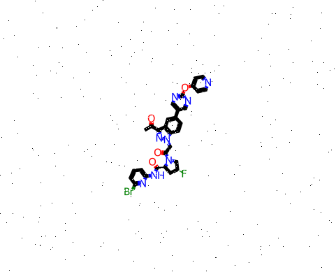 CC(=O)c1nn(CC(=O)N2C[C@H](F)C[C@H]2C(=O)Nc2cccc(Br)n2)c2ccc(-c3cnc(Oc4ccncc4)nc3)cc12